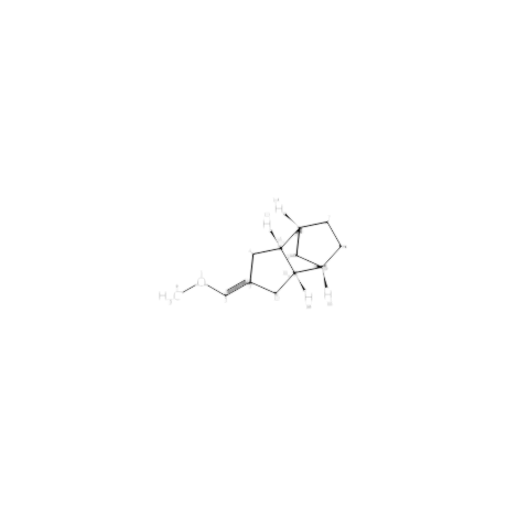 CO/C=C1\C[C@@H]2[C@@H]3CC[C@@H](C3)[C@@H]2C1